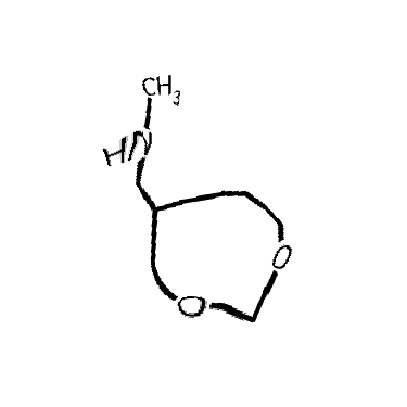 CNC1COCOC1